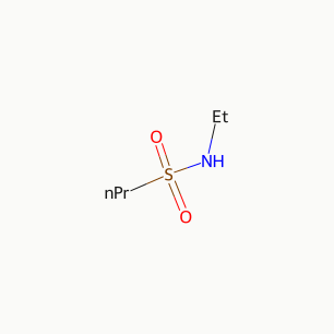 [CH2]CCS(=O)(=O)NCC